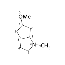 COC1CC2CCN(C)C2C1